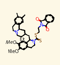 CCC1CN2CCc3cc(C)c(C)cc3C2CC1CC1c2cc(OC)c(OC)cc2CCN1C(=S)SCCN1C(=O)c2ccccc2C1=O